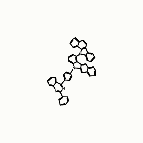 c1ccc(-c2nc(-c3ccc(-n4c5cc6ccccc6cc5c5c(-n6c7ccccc7c7ccc8ccccc8c76)cccc54)cc3)c3ccccc3n2)cc1